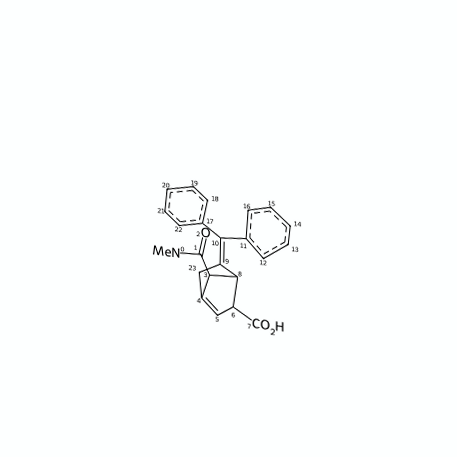 CNC(=O)C1C2=CC(C(=O)O)C1C(=C(c1ccccc1)c1ccccc1)C2